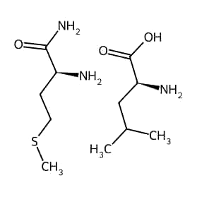 CC(C)C[C@H](N)C(=O)O.CSCC[C@H](N)C(N)=O